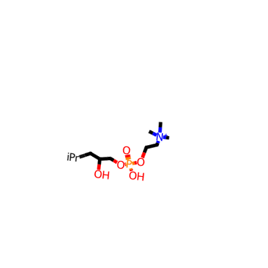 CC(C)CC(O)COP(=O)(O)OCC[N+](C)(C)C